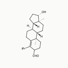 CC(C)C1=C2CC[C@H]3[C@@H]4CC[C@H](O)[C@@]4(C)CC[C@@H]3[C@@]2(C)CCC1C=O